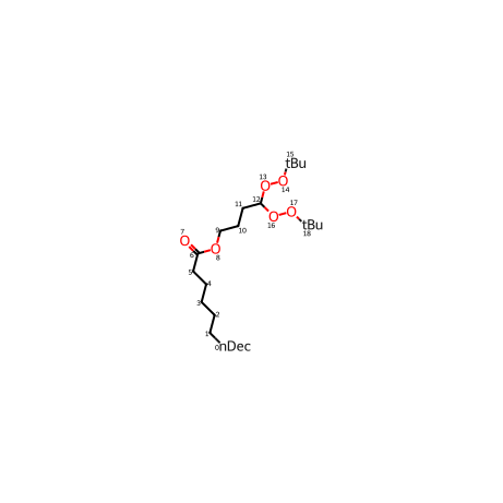 CCCCCCCCCCCCCCCC(=O)OCCCC(OOC(C)(C)C)OOC(C)(C)C